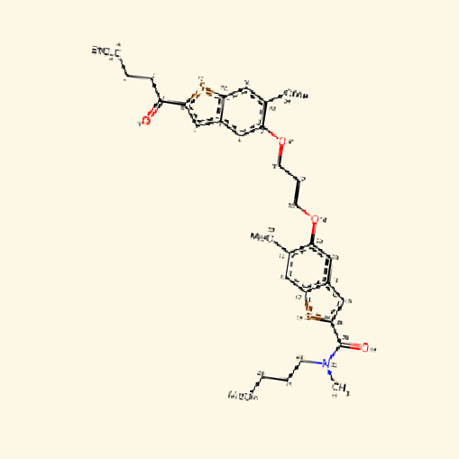 CCOC(=O)CCC(=O)c1cc2cc(OCCCOc3cc4cc(C(=O)N(C)CCCOC)sc4cc3OC)c(OC)cc2s1